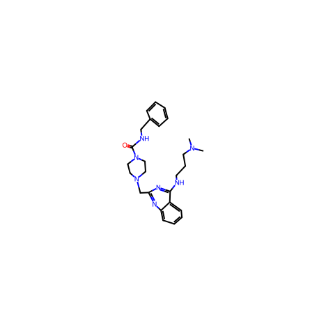 CN(C)CCCNc1nc(CN2CCN(C(=O)NCc3ccccc3)CC2)nc2ccccc12